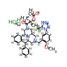 COc1ccc(-n2nnnc2C(F)(F)F)cc1CN1CC2CN(C(=O)C(C)(C)OC(C)=O)CCN2C(C(c2ccccc2)c2ccccc2)C1.Cl.Cl